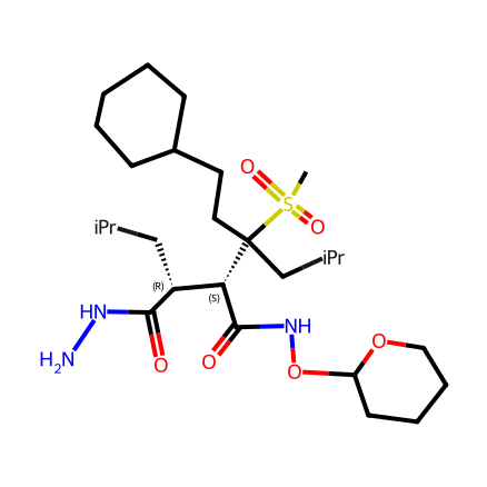 CC(C)C[C@@H](C(=O)NN)[C@@H](C(=O)NOC1CCCCO1)C(CCC1CCCCC1)(CC(C)C)S(C)(=O)=O